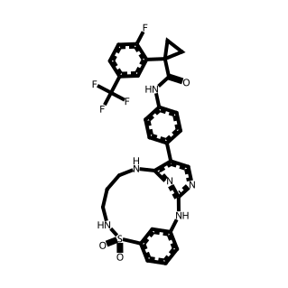 O=C(Nc1ccc(-c2cnc3nc2NCCCNS(=O)(=O)c2cccc(c2)N3)cc1)C1(c2cc(C(F)(F)F)ccc2F)CC1